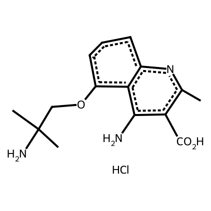 Cc1nc2cccc(OCC(C)(C)N)c2c(N)c1C(=O)O.Cl